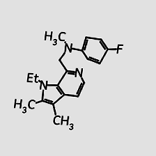 CCn1c(C)c(C)c2ccnc(CN(C)c3ccc(F)cc3)c21